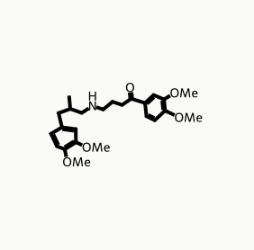 COc1ccc(CC(C)CNCCCC(=O)c2ccc(OC)c(OC)c2)cc1OC